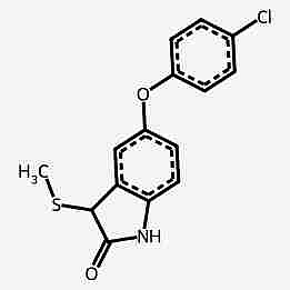 CSC1C(=O)Nc2ccc(Oc3ccc(Cl)cc3)cc21